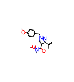 C=C(C)c1nn(Cc2ccc(OC)cc2)cc1C(=O)N(C)OC